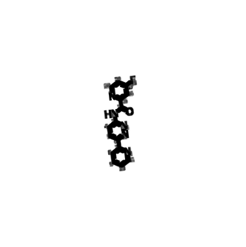 O=C(Nc1ccc(-c2ccccn2)nn1)c1cc(F)ccn1